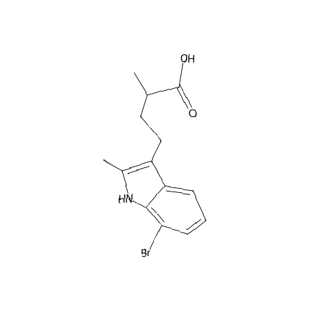 Cc1[nH]c2c(Br)cccc2c1CCC(C)C(=O)O